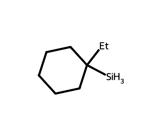 CCC1([SiH3])CCCCC1